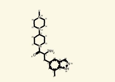 Cc1cc(CC(N)C(=O)N2CCC(N3CCN(C)CC3)CC2)cc2cn[nH]c12